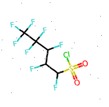 O=S(=O)(Cl)C(F)C(F)C(F)C(F)(F)C(F)(F)F